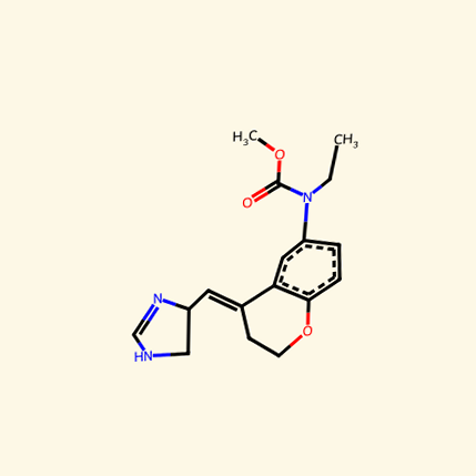 CCN(C(=O)OC)c1ccc2c(c1)/C(=C/C1CNC=N1)CCO2